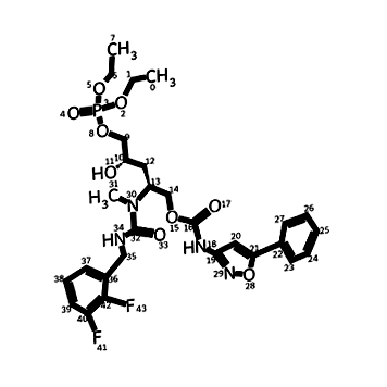 CCOP(=O)(OCC)OC[C@@H](O)C[C@@H](COC(=O)Nc1cc(-c2ccccc2)on1)N(C)C(=O)NCc1cccc(F)c1F